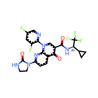 O=C(N[C@H](C1CC1)C(F)(F)F)c1cn(-c2ncc(F)cc2F)c2nc(N3CCNC3=O)ccc2c1=O